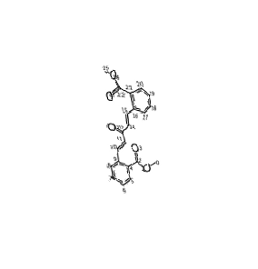 COC(=O)c1ccccc1C=CC(=O)C=Cc1ccccc1C(=O)OC